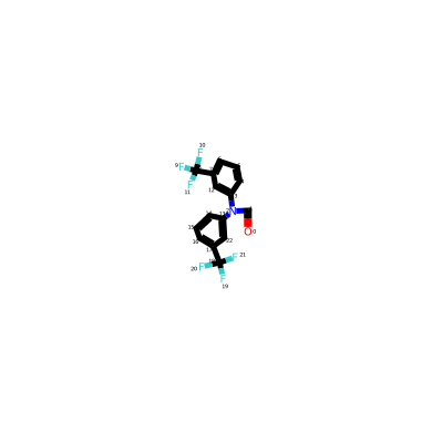 O=CN(c1cccc(C(F)(F)F)c1)c1cccc(C(F)(F)F)c1